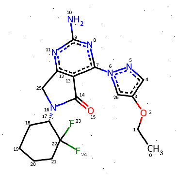 CCOc1cnn(-c2nc(N)nc3c2C(=O)N([C@H]2CCCCC2(F)F)C3)c1